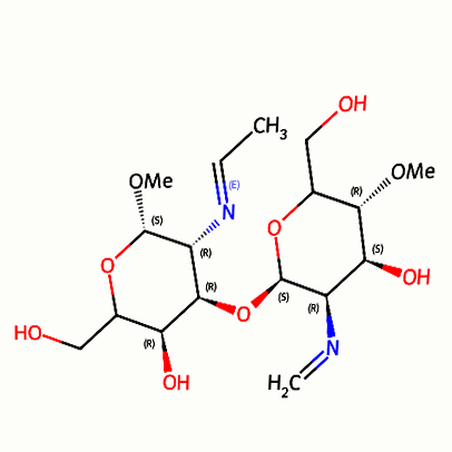 C=N[C@H]1[C@@H](O[C@@H]2[C@@H](/N=C/C)[C@@H](OC)OC(CO)[C@@H]2O)OC(CO)[C@H](OC)[C@H]1O